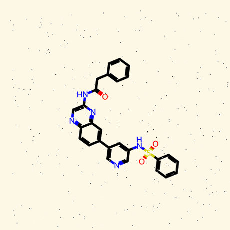 O=C(Cc1ccccc1)Nc1cnc2ccc(-c3cncc(NS(=O)(=O)c4ccccc4)c3)cc2n1